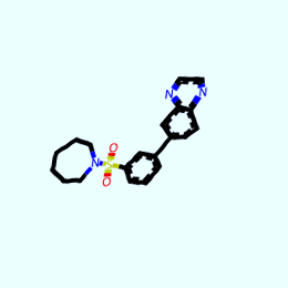 O=S(=O)(c1cccc(-c2ccc3nccnc3c2)c1)N1CCCCCC1